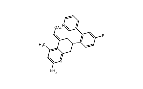 CC(=O)ON=C1C[C@H](c2ccc(F)cc2-c2cccnc2)Cc2nc(N)nc(C)c21